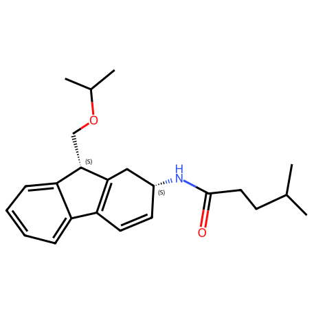 CC(C)CCC(=O)N[C@@H]1C=CC2=C(C1)[C@@H](COC(C)C)c1ccccc12